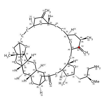 C=C1C[C@@H]2CC[C@@]34C[C@@]5(C)O[C@H]6[C@@H](O3)[C@H]3O[C@H](CC[C@@H]3O[C@H]6[C@H]5O4)CC(=O)C[C@@H]3[C@@H](C)[C@@H](C[C@@H](CN)OC)O[C@H]3C[C@H]3O[C@@H](CC[C@@H]1O2)C[C@@H](C)C3=C